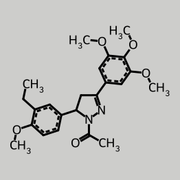 CCc1cc(C2CC(c3cc(OC)c(OC)c(OC)c3)=NN2C(C)=O)ccc1OC